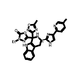 CCn1nc(C2(c3noc(C)n3)N[C@@H](c3nc(-c4ccc(C)cn4)c[nH]3)Cc3c2[nH]c2ccccc32)oc1=O